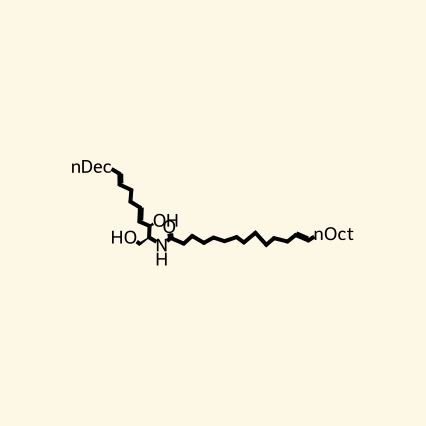 CCCCCCCC/C=C/CCCCCCCCCCCC(=O)N[C@@H](CO)[C@H](O)/C=C/CC/C=C/CCCCCCCCCC